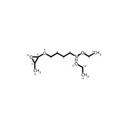 CCO[SiH](CCCCOC1OC1C)OCC